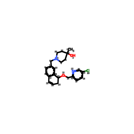 CC1(O)CCN(Cc2ccc3c(c2)C(OCc2ccc(Cl)cn2)C[C]=C3)CC1